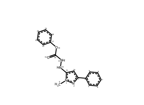 Cn1nc(-c2ccccc2)cc1NNC(=O)Oc1ccccc1